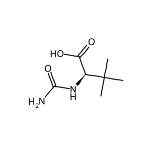 CC(C)(C)[C@@H](NC(N)=O)C(=O)O